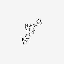 FC(F)(F)c1ccc(C2N=NC(NCC3CCCO3)c3cnccc32)cc1